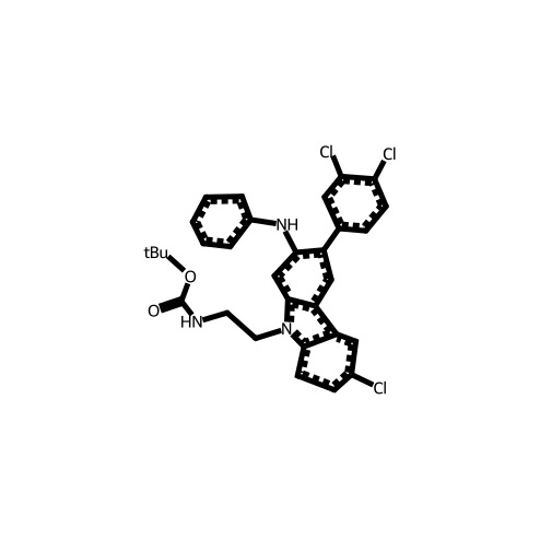 CC(C)(C)OC(=O)NCCn1c2ccc(Cl)cc2c2cc(-c3ccc(Cl)c(Cl)c3)c(Nc3ccccc3)cc21